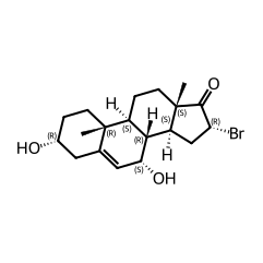 C[C@]12CC[C@@H](O)CC1=C[C@@H](O)[C@@H]1[C@@H]2CC[C@]2(C)C(=O)[C@H](Br)C[C@@H]12